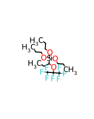 CCCO[Si](OCCC)(OCCC)C(CC)OC(F)(C(F)(F)F)C(F)(F)F